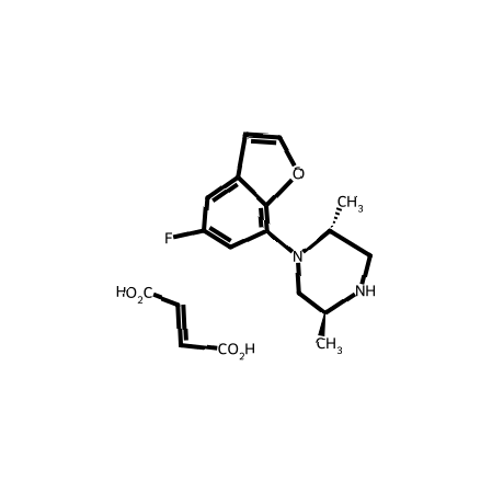 C[C@@H]1CN[C@@H](C)CN1c1cc(F)cc2ccoc12.O=C(O)/C=C/C(=O)O